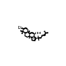 CCC1CCC2(C)C(CCC3(C)C2CC(O)C2C(C(C)(C)CCC=C(C)C)CC[C@]23C)C1(C)C